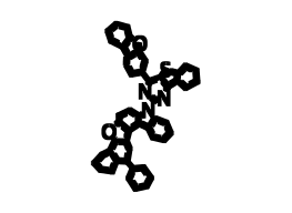 c1ccc(-c2cc3c(oc4ccc5c(c6ccccc6n5-c5nc(-c6ccc7c(c6)oc6ccccc67)c6sc7ccccc7c6n5)c43)c3ccccc23)cc1